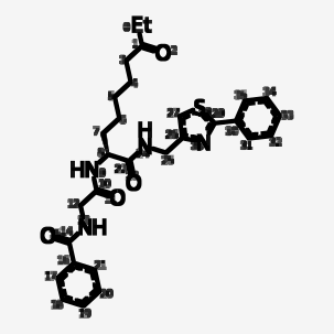 CCC(=O)CCCCC[C@H](NC(=O)CNC(=O)c1ccccc1)C(=O)NCc1csc(-c2ccccc2)n1